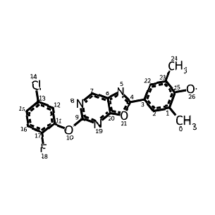 Cc1cc(-c2nc3cnc(Oc4cc(Cl)ccc4F)nc3o2)cc(C)c1[O]